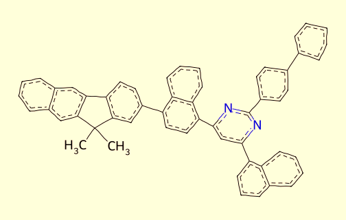 CC1(C)c2cc(-c3ccc(-c4cc(-c5cccc6ccccc56)nc(-c5ccc(-c6ccccc6)cc5)n4)c4ccccc34)ccc2-c2cc3ccccc3cc21